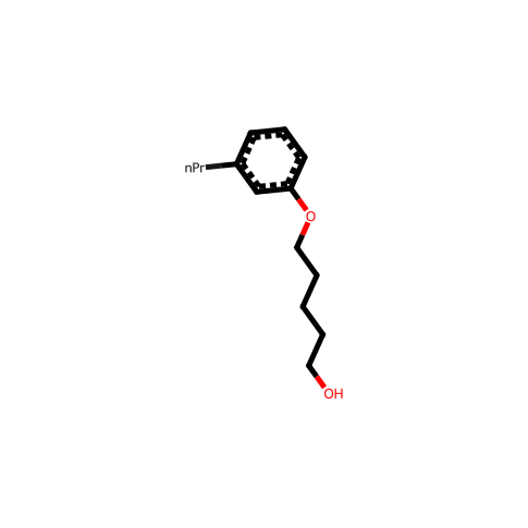 C[CH]Cc1cccc(OCCCCCO)c1